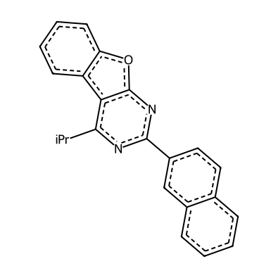 CC(C)c1nc(-c2ccc3ccccc3c2)nc2oc3ccccc3c12